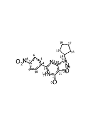 O=c1[nH]c(-c2ccc([N+](=O)[O-])cc2)nc2c(C3CCCC3)noc12